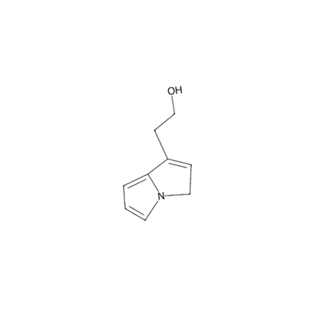 OCCC1=CCn2cccc21